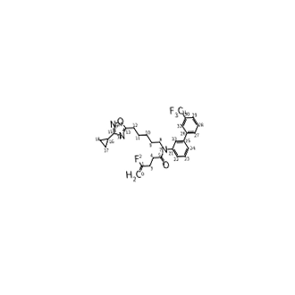 C=C(F)CCC(=O)N(CCCCCc1nc(C2CC2)no1)c1cccc(-c2cccc(C(F)(F)F)c2)c1